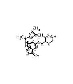 Cc1nc(C(C)Nc2cc(NCC3CCNCC3)nc3c(C(C)C)cnn23)sc1C